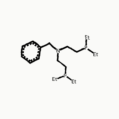 CCP(CC)CCN(CCP(CC)CC)Cc1ccccc1